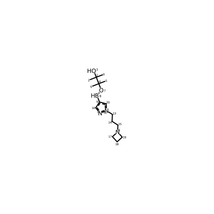 CC(C)(O)C(C)(C)OBc1cnn(CCCN2CCC2)c1